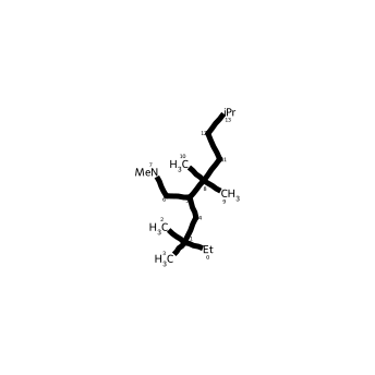 CCC(C)(C)CC(CNC)C(C)(C)CCC(C)C